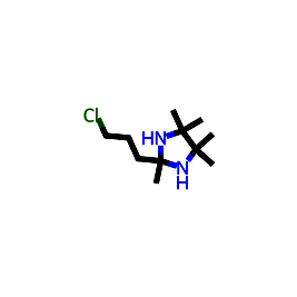 CC1(CCCCl)NC(C)(C)C(C)(C)N1